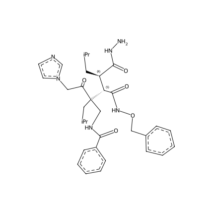 CC(C)C[C@@H](C(=O)NN)[C@H](C(=O)NOCc1ccccc1)C(CNC(=O)c1ccccc1)(CC(C)C)C(=O)Cn1ccnc1